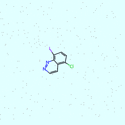 Clc1ccc(I)c2nnccc12